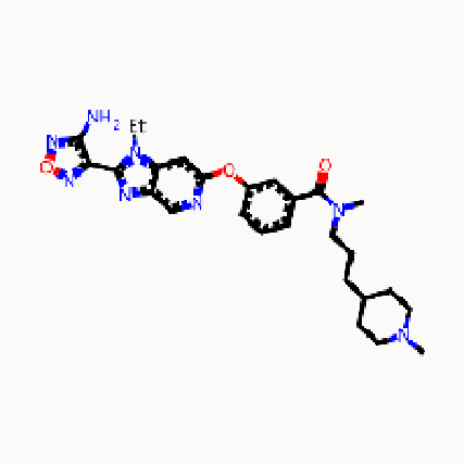 CCn1c(-c2nonc2N)nc2cnc(Oc3cccc(C(=O)N(C)CCCC4CCN(C)CC4)c3)cc21